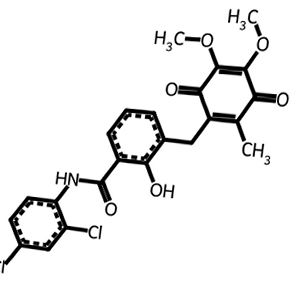 COC1=C(OC)C(=O)C(Cc2cccc(C(=O)Nc3ccc(Cl)cc3Cl)c2O)=C(C)C1=O